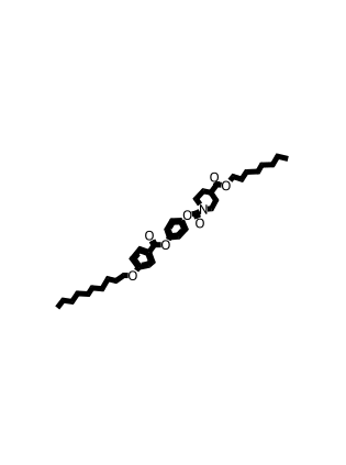 CCCCCCCCCCOc1ccc(C(=O)Oc2ccc(OC(=O)N3CCC(C(=O)OCCCCCCCC)CC3)cc2)cc1